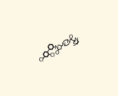 O=C(c1nccs1)N1CCN(C2CC(=O)N(c3cccc(-c4ccc(Cl)cc4Cl)c3)C2)CC1